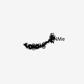 CNc1nc(Cl)nc2c1ncn2CCCCOC(=O)NCc1ccc(S(=O)(=O)N2CCN(CC3CC3)CC2)cc1